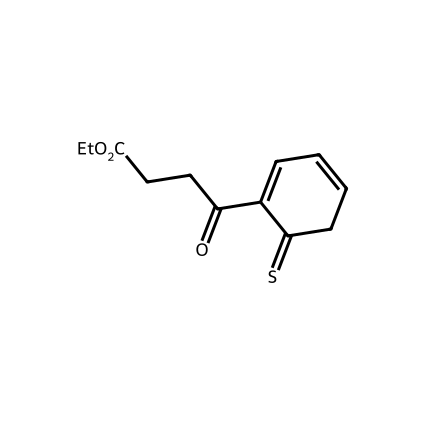 CCOC(=O)CCC(=O)C1=CC=CCC1=S